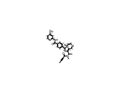 CC#CC(=O)N(C)C(C)C1=C2C=NC=C[N+]2(N)C(c2ccc(C(=O)Nc3cc(CCC)ccn3)cc2)=N1